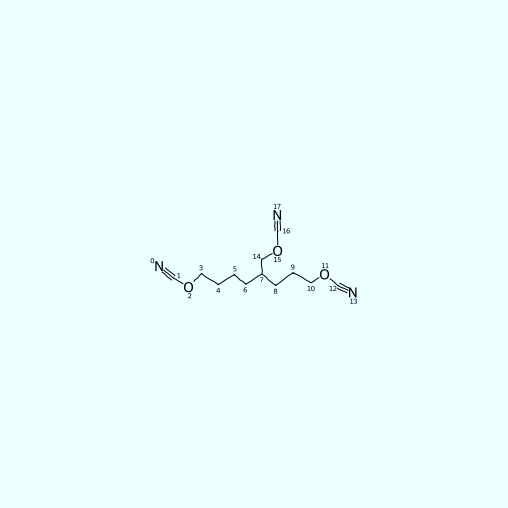 N#COCCCCC(CCCOC#N)COC#N